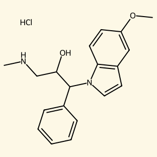 CNCC(O)C(c1ccccc1)n1ccc2cc(OC)ccc21.Cl